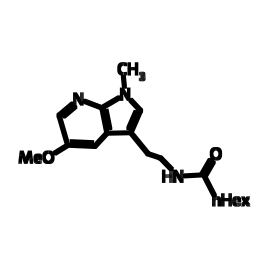 CCCCCCC(=O)NCCc1cn(C)c2ncc(OC)cc12